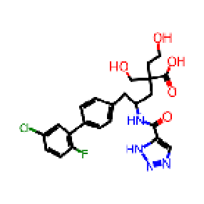 O=C(NC(Cc1ccc(-c2cc(Cl)ccc2F)cc1)CC(CO)(CCO)C(=O)O)c1cnn[nH]1